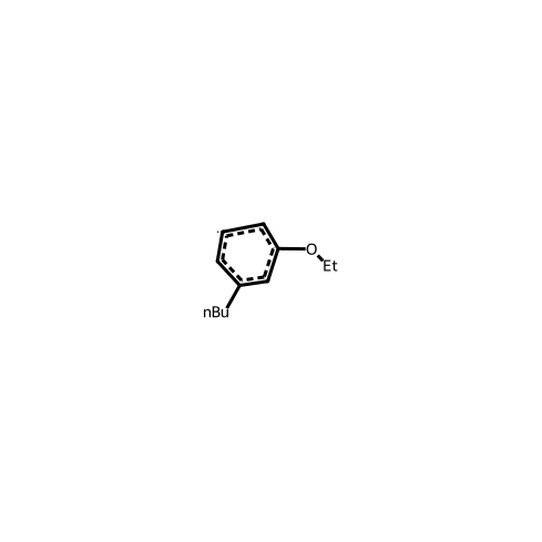 CCCCc1c[c]cc(OCC)c1